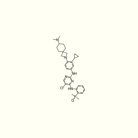 CN(C)C1CCC2(CC1)CN(c1ccc(Nc3ncc(Cl)c(Nc4ccccc4P(C)(C)=O)n3)cc1C1CC1)C2